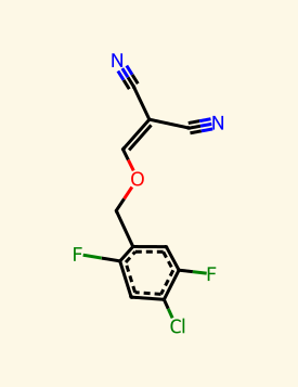 N#CC(C#N)=COCc1cc(F)c(Cl)cc1F